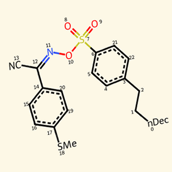 CCCCCCCCCCCCc1ccc(S(=O)(=O)ON=C(C#N)c2ccc(SC)cc2)cc1